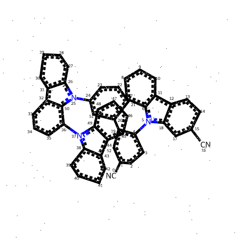 N#Cc1ccc(-n2c3ccccc3c3ccc(C#N)cc32)c(-c2cccc(-n3c4ccccc4c4cccc(-n5c6ccccc6c6ccccc65)c43)c2)c1